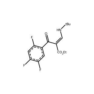 CCOC(=O)/C(=C/NC(C)(C)C)C(=O)c1cc(F)c(F)cc1F